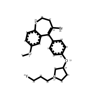 COc1ccc2c(c1)C(c1ccc(OC3CCN(CCCF)C3)cc1)=C(Br)CCS2